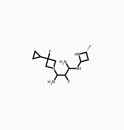 C[C@@H]1CC(NC(N)C(F)C(N)N2CC(F)(C3CC3)C2)N1